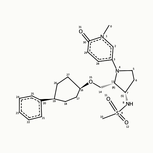 Cn1cc(N2CC[C@H](NS(C)(=O)=O)[C@@H]2CO[C@H]2CC[C@@H](c3ccccc3)CC2)ccc1=O